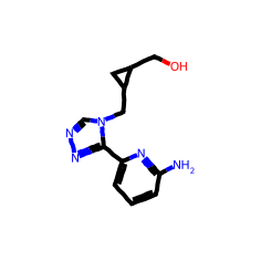 Nc1cccc(-c2nncn2CC2CC2CO)n1